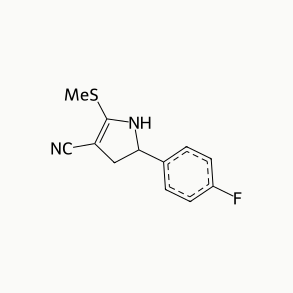 CSC1=C(C#N)CC(c2ccc(F)cc2)N1